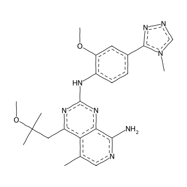 COc1cc(-c2nncn2C)ccc1Nc1nc(CC(C)(C)OC)c2c(C)cnc(N)c2n1